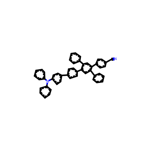 N#Cc1ccc(-c2cc(-c3ccccc3)c(-c3ccc(-c4ccc(N(c5ccccc5)c5ccccc5)cc4)cc3)cc2-c2ccccc2)cc1